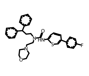 O=C(NC1=CC=CC(c2ccc(F)cc2)=CS1)N(CCC(c1ccccc1)c1ccccc1)CCN1CCOCC1